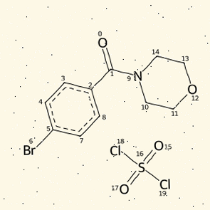 O=C(c1ccc(Br)cc1)N1CCOCC1.O=S(=O)(Cl)Cl